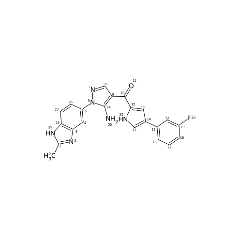 Cc1nc2cc(-n3ncc(C(=O)c4cc(-c5cccc(F)c5)c[nH]4)c3N)ccc2[nH]1